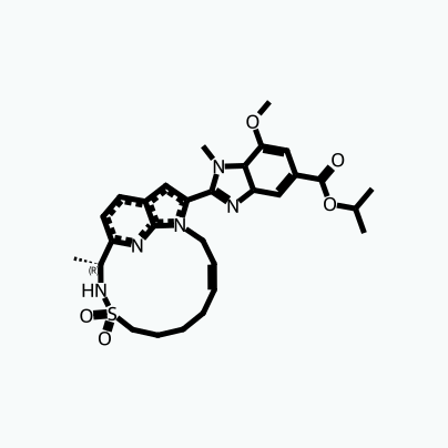 COC1=CC(C(=O)OC(C)C)=CC2N=C(c3cc4ccc5nc4n3CC=CCCCCS(=O)(=O)N[C@@H]5C)N(C)C12